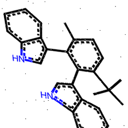 Cc1ccc(C(C)(C)C)c(-c2c[nH]c3ccccc23)c1-c1c[nH]c2ccccc12